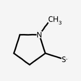 CN1CCCC1[S]